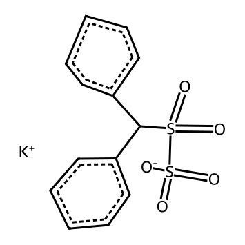 O=S(=O)([O-])S(=O)(=O)C(c1ccccc1)c1ccccc1.[K+]